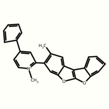 Cc1cc2c(cc1-c1cc(-c3ccccc3)cc[n+]1C)oc1oc3ccccc3c12